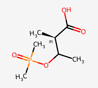 CC(OP(C)(C)=O)[C@@H](C)C(=O)O